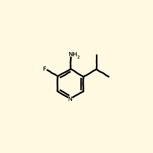 CC(C)c1cncc(F)c1N